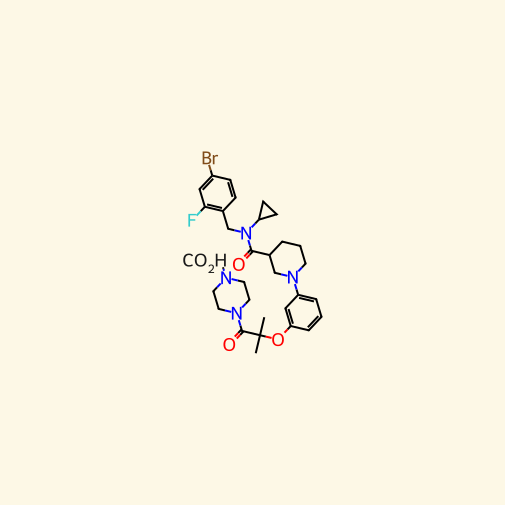 CC(C)(Oc1cccc(N2CCCC(C(=O)N(Cc3ccc(Br)cc3F)C3CC3)C2)c1)C(=O)N1CCN(C(=O)O)CC1